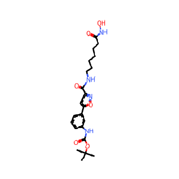 CC(C)(C)OC(=O)Nc1cccc(-c2cc(C(=O)NCCCCCCC(=O)NO)no2)c1